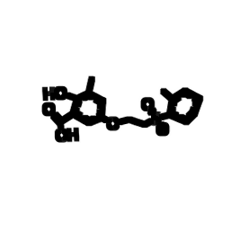 Cc1ccccc1S(=O)(=O)CCOc1cc(C)c(O)c(C(=O)O)c1